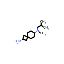 CC(C)CN(C)[C@H]1CCC2(CC1)C[C@@H](N)C2